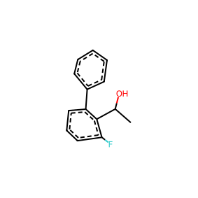 CC(O)c1c(F)cccc1-c1ccccc1